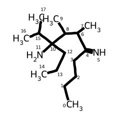 CCCCC(=N)C(C)C(C)C(N)(CCC)C(C)C